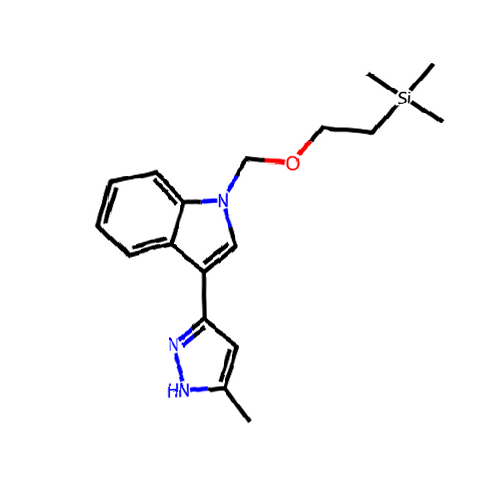 Cc1cc(-c2cn(COCC[Si](C)(C)C)c3ccccc23)n[nH]1